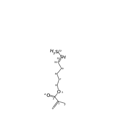 C=C(C)C(=O)OCCCCC=[SH][SiH3]